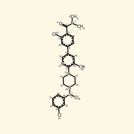 CN(C)C(=O)c1ccc(-c2cnc(N3CCN([S+]([O-])c4cccc(Cl)c4)CC3)c(C#N)c2)cc1Cl